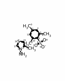 Cc1cc(C)c(S(=O)(=O)[O-])c(C)c1.Cc1csc[n+]1N